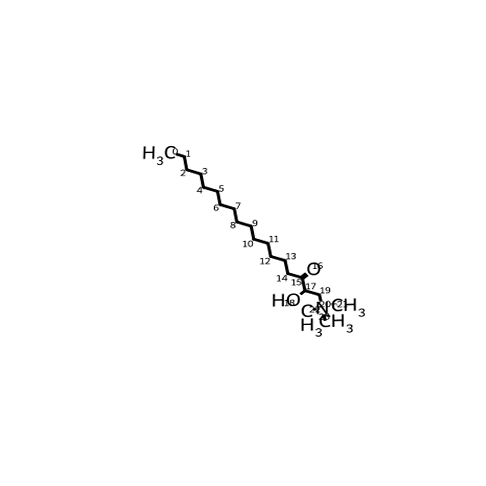 CCCCCCCCCCCCCCCC(=O)C(O)C[N+](C)(C)C